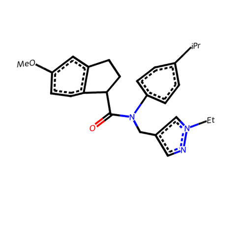 CCn1cc(CN(C(=O)C2CCc3cc(OC)ccc32)c2ccc(C(C)C)cc2)cn1